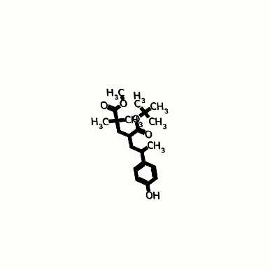 COC(=O)C(C)(C)CC(CC(C)c1ccc(O)cc1)C(=O)OC(C)(C)C